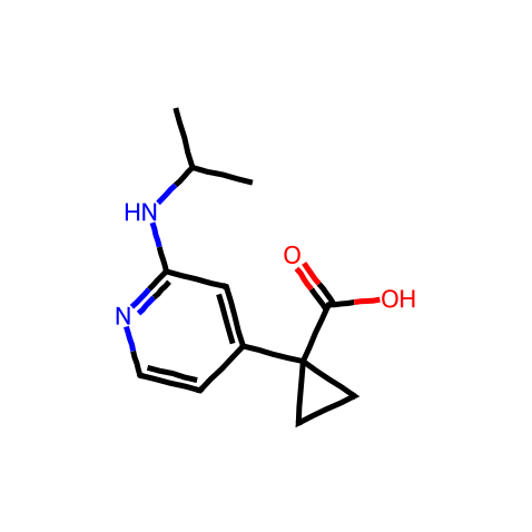 CC(C)Nc1cc(C2(C(=O)O)CC2)ccn1